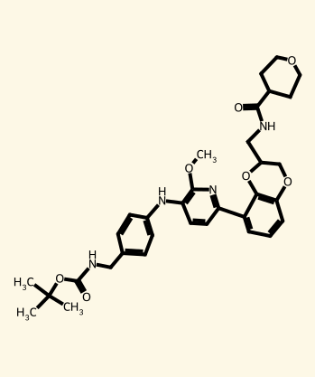 COc1nc(-c2cccc3c2OC(CNC(=O)C2CCOCC2)CO3)ccc1Nc1ccc(CNC(=O)OC(C)(C)C)cc1